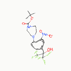 CC(C)(C)OC(=O)N1CCN(c2ccc(C(O)(C(F)(F)F)C(F)(F)F)cc2[N+](=O)[O-])CC1